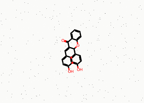 O=C1/C(=C/c2ccc(O)cc2)C(c2ccc(O)cc2)Oc2ccccc21